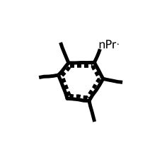 CC[CH]c1c(C)c(C)cc(C)c1C